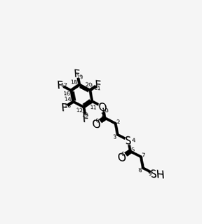 O=C(CCSC(=O)CCS)Oc1c(F)c(F)c(F)c(F)c1F